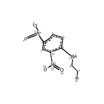 O=[N+]([O-])c1ccc(NCCBr)c([N+](=O)[O-])c1